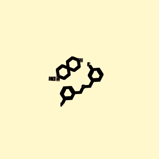 C1CC2(CCN1)CCNCC2.Cl.Fc1cccc(COCc2cccc(F)c2)c1